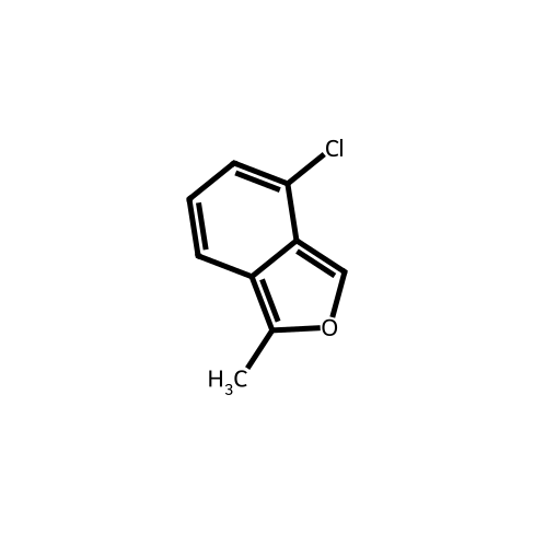 Cc1occ2c(Cl)cccc12